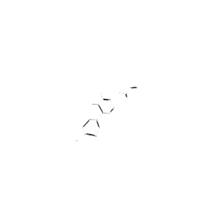 C=CC(=O)Oc1ccc(-c2ccc(OC=O)c(F)c2)c(P)c1F